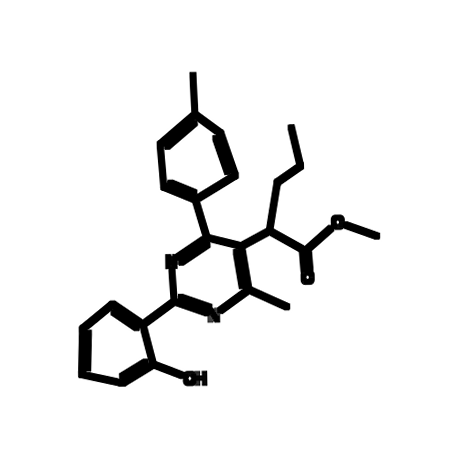 CCCC(C(=O)OC)c1c(C)nc(-c2ccccc2O)nc1-c1ccc(C)cc1